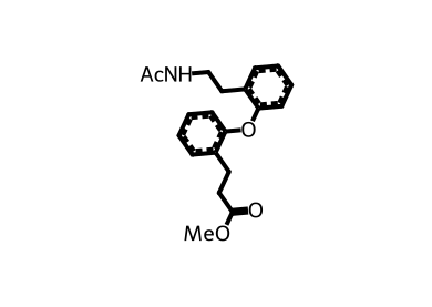 COC(=O)CCc1ccccc1Oc1ccccc1CCNC(C)=O